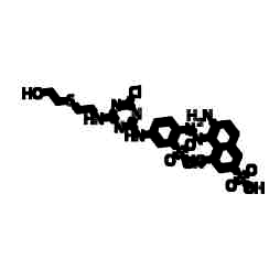 Nc1ccc2cc(S(=O)(=O)O)cc(O)c2c1/N=N/c1ccc(Nc2nc(Cl)nc(NCCSCCO)n2)cc1S(=O)(=O)O